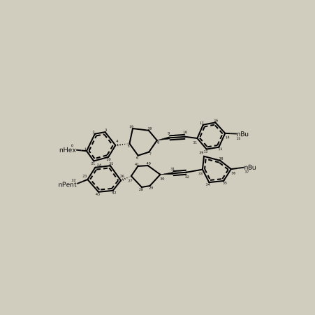 CCCCCCc1ccc([C@H]2CC[C@H](C#Cc3ccc(CCCC)cc3)CC2)cc1.CCCCCc1ccc([C@H]2CC[C@H](C#Cc3ccc(CCCC)cc3)CC2)cc1